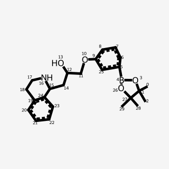 CC1(C)OB(c2cccc(OCC(O)CC3NCCc4ccccc43)c2)OC1(C)C